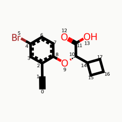 C#Cc1cc(Br)ccc1O[C@H](C(=O)O)C1CCC1